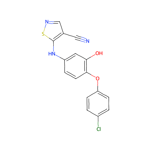 N#Cc1cnsc1Nc1ccc(Oc2ccc(Cl)cc2)c(O)c1